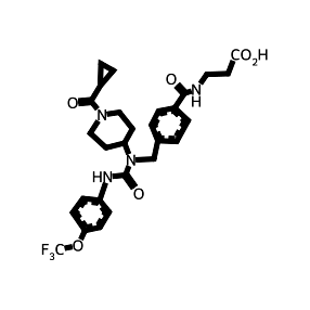 O=C(O)CCNC(=O)c1ccc(CN(C(=O)Nc2ccc(OC(F)(F)F)cc2)C2CCN(C(=O)C3CC3)CC2)cc1